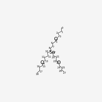 CCCCOCCC[CH2][Sn]([CH2]CCCOCCCC)[CH2]CCCOCCCC